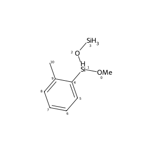 CO[SiH](O[SiH3])c1ccccc1C